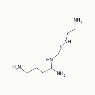 NCCCC(N)NCCNCCN